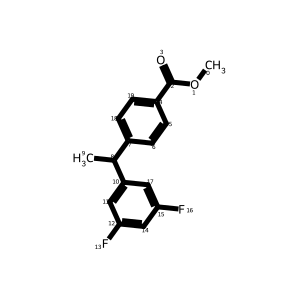 COC(=O)c1ccc([C](C)c2cc(F)cc(F)c2)cc1